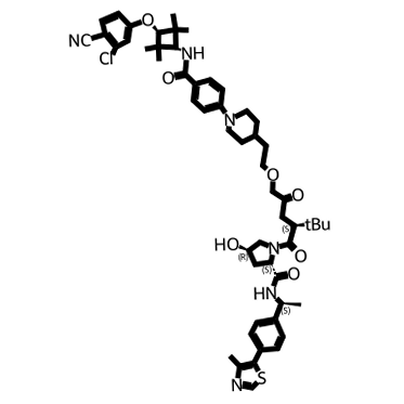 Cc1ncsc1-c1ccc([C@H](C)NC(=O)[C@@H]2C[C@@H](O)CN2C(=O)[C@@H](CC(=O)COCCC2CCN(c3ccc(C(=O)N[C@H]4C(C)(C)[C@H](Oc5ccc(C#N)c(Cl)c5)C4(C)C)cc3)CC2)C(C)(C)C)cc1